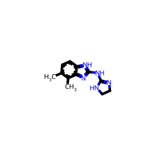 Cc1ccc2[nH]c(NC3=NCCN3)nc2c1C